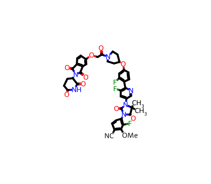 COc1c(C#N)ccc(N2C(=O)N(c3cnc(-c4ccc(OC5CCN(C(=O)COc6ccc7c(c6)C(=O)N(C6CCC(=O)NC6=O)C7=O)CC5)cc4F)c(F)c3)C(C)(C)C2=O)c1F